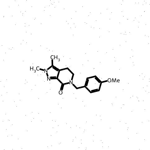 COc1ccc(CN2CCc3c(nn(C)c3C)C2=O)cc1